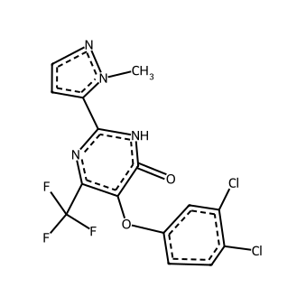 Cn1nccc1-c1nc(C(F)(F)F)c(Oc2ccc(Cl)c(Cl)c2)c(=O)[nH]1